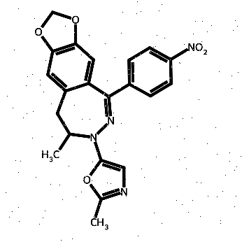 Cc1ncc(N2N=C(c3ccc([N+](=O)[O-])cc3)c3cc4c(cc3CC2C)OCO4)o1